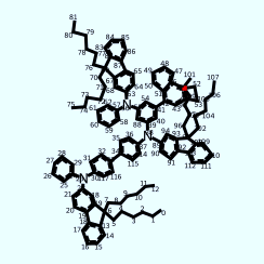 CCCCCCC1(CCCCCC)c2ccccc2-c2ccc(N(c3ccccc3)c3ccc(-c4ccc(N(c5cc(-c6cc7c(c8ccccc68)CC7)cc(N(c6ccccc6)c6ccc7c(c6)C(CCCCCC)(CCCCCC)c6ccccc6-7)c5)c5ccc6c(c5)C(CCCCCC)(CCCCCC)c5ccccc5-6)cc4)cc3)cc21